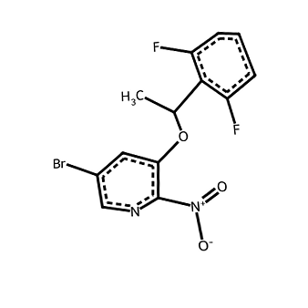 CC(Oc1cc(Br)cnc1[N+](=O)[O-])c1c(F)cccc1F